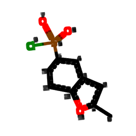 Cc1cc2cc(S(=O)(=O)Cl)ccc2o1